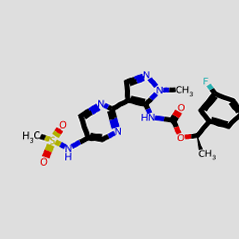 C[C@@H](OC(=O)Nc1c(-c2ncc(NS(C)(=O)=O)cn2)cnn1C)c1cccc(F)c1